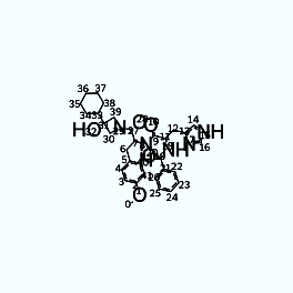 COc1ccc(CC(NC(=O)C(Cc2c[nH]cn2)NC(=O)c2ccccc2)C(=O)N2CC(O)(C3CCCCC3)C2)cc1